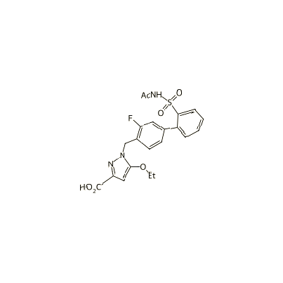 CCOc1cc(C(=O)O)nn1Cc1ccc(-c2ccccc2S(=O)(=O)NC(C)=O)cc1F